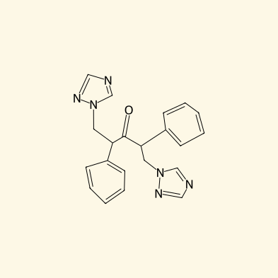 O=C(C(Cn1cncn1)c1ccccc1)C(Cn1cncn1)c1ccccc1